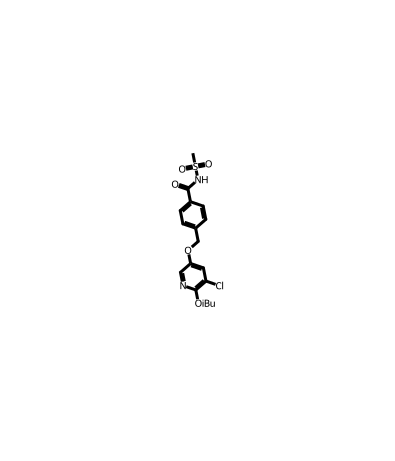 CC(C)COc1ncc(OCc2ccc(C(=O)NS(C)(=O)=O)cc2)cc1Cl